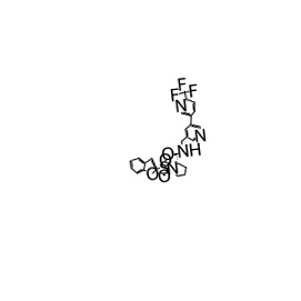 O=C(NCc1cncc(-c2ccc(C(F)(F)F)nc2)c1)[C@@H]1CCCN1S(=O)(=O)c1cc2ccccc2o1